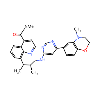 CNC(=O)c1ccnc2c(C(C)[C@H](C)CNc3cc(-c4ccc5c(c4)N(C)CCO5)ncn3)cccc12